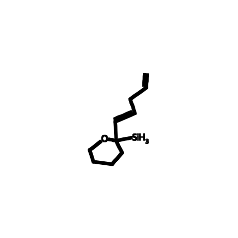 C=CCC=CC1([SiH3])CCCCO1